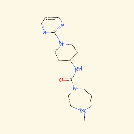 CN1CCCN(C(=O)NC2CCN(c3ncccn3)CC2)CC1